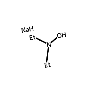 CCN(O)CC.[NaH]